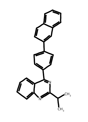 CC(C)c1nc(-c2ccc(-c3ccc4ccccc4c3)cc2)c2ccccc2n1